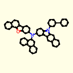 c1ccc(-c2cccc(-n3c4ccc(N(c5ccc6c(c5)oc5c7ccccc7ccc65)c5cc6ccccc6c6ccccc56)cc4c4cc5ccccc5cc43)c2)cc1